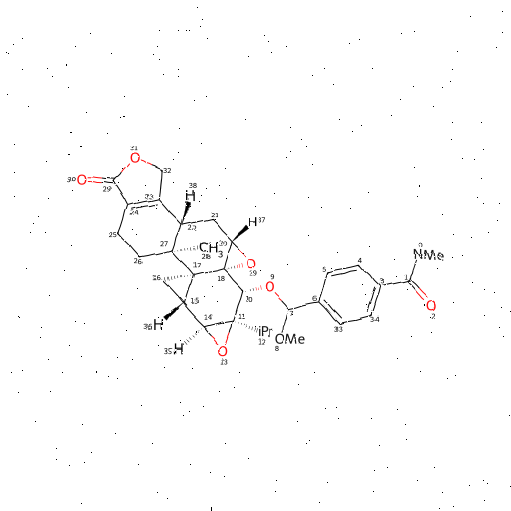 CNC(=O)c1ccc(C(OC)O[C@@H]2[C@@]3(C(C)C)O[C@H]3[C@@H]3C[C@]34[C@]23O[C@H]3C[C@H]2C3=C(CC[C@@]24C)C(=O)OC3)cc1